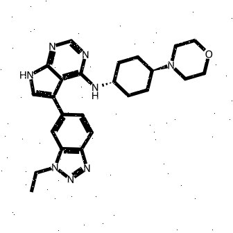 CCn1nnc2ccc(-c3c[nH]c4ncnc(N[C@H]5CC[C@H](N6CCOCC6)CC5)c34)cc21